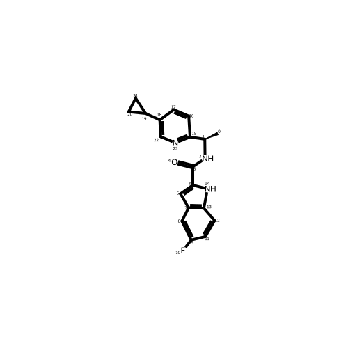 C[C@@H](NC(=O)c1cc2cc(F)ccc2[nH]1)c1ccc(C2CC2)cn1